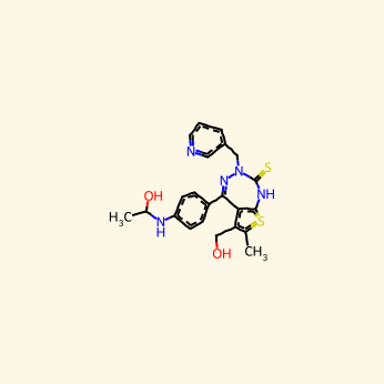 Cc1sc2c(c1CO)C(c1ccc(NC(C)O)cc1)=NN(Cc1cccnc1)C(=S)N2